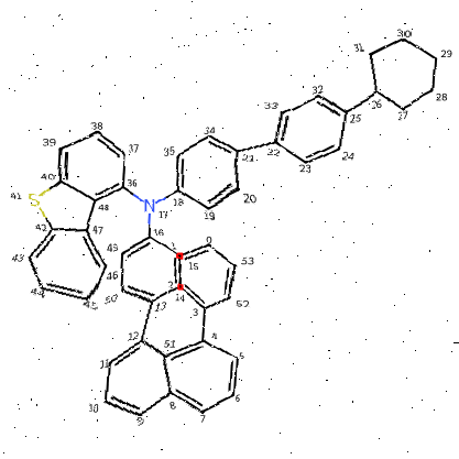 c1ccc(-c2cccc3cccc(-c4ccc(N(c5ccc(-c6ccc(C7CCCCC7)cc6)cc5)c5cccc6sc7ccccc7c56)cc4)c23)cc1